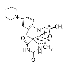 C[C@@H]1CN2c3ccc(N4CCCCC4)cc3CC3(C(=O)NC(=O)NC3=O)[C@H]2[C@H](C)O1